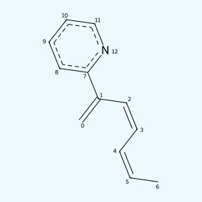 C=C(/C=C\C=C/C)c1ccccn1